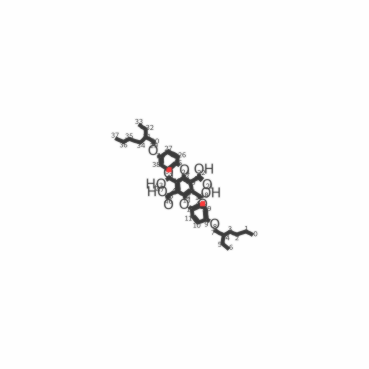 CCCCC(CC)COc1ccc(Oc2c(C(=O)O)c(C(=O)O)c(Oc3ccc(OCC(CC)CCCC)cc3)c(C(=O)O)c2C(=O)O)cc1